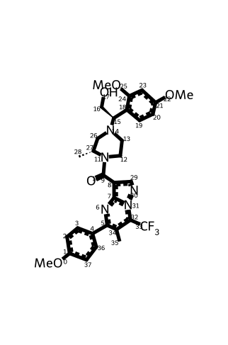 COc1ccc(-c2nc3c(C(=O)N4CCN([C@@H](CO)c5ccc(OC)cc5OC)C[C@H]4C)cnn3c(C(F)(F)F)c2C)cc1